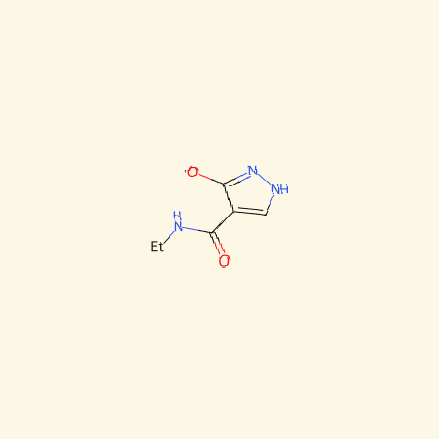 CCNC(=O)c1c[nH]nc1[O]